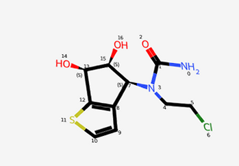 NC(=O)N(CCCl)[C@H]1c2ccsc2[C@@H](O)[C@H]1O